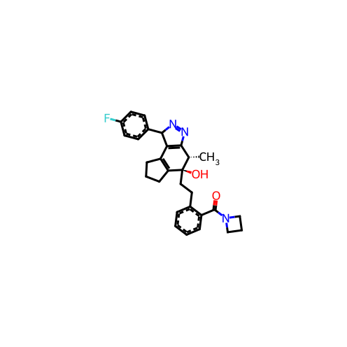 C[C@H]1C2=C(C3=C(CCC3)[C@@]1(O)CCc1ccccc1C(=O)N1CCC1)C(c1ccc(F)cc1)N=N2